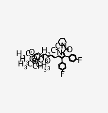 COC(=O)C[C@@H](CC(=O)C=Cc1c(-c2ccc(F)cc2)c(-c2ccc(F)cc2)c(C(=O)N2CCCCC2)n1C(C)C)O[Si](C)(C)C(C)(C)C